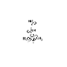 COc1cc(C(=O)NCCCC(=O)O)cc(OC)c1OC